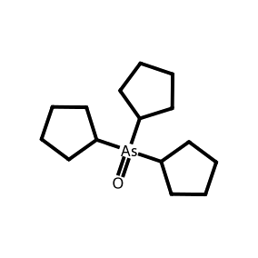 O=[As](C1CCCC1)(C1CCCC1)C1CCCC1